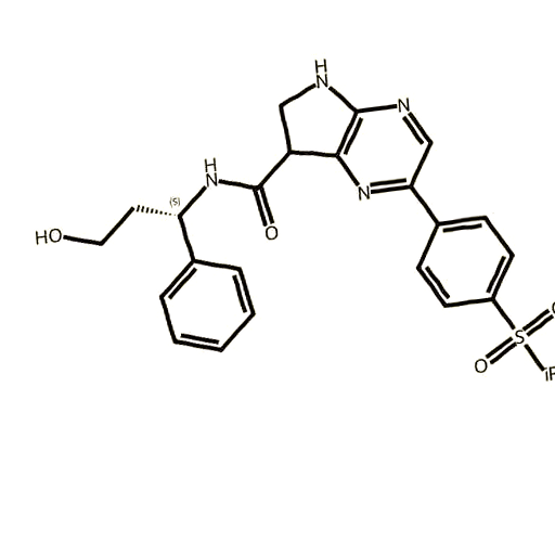 CC(C)S(=O)(=O)c1ccc(-c2cnc3c(n2)C(C(=O)N[C@@H](CCO)c2ccccc2)CN3)cc1